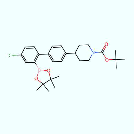 CC(C)(C)OC(=O)N1CCC(c2ccc(-c3ccc(Cl)cc3B3OC(C)(C)C(C)(C)O3)cc2)CC1